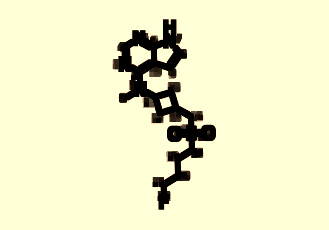 CN(c1ncnc2[nH]ccc12)C1CC(CS(=O)(=O)CCCCF)C1